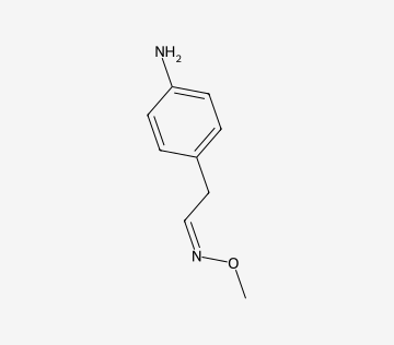 CO/N=C\Cc1ccc(N)cc1